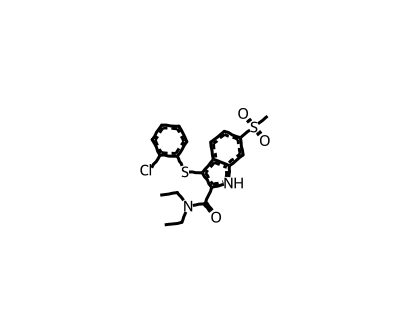 CCN(CC)C(=O)c1[nH]c2cc(S(C)(=O)=O)ccc2c1Sc1ccccc1Cl